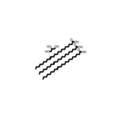 CCCCCCCCC=CCCCCCCCCCCCC(=O)O.CCCCCCCCC=CCCCCCCCCCCCC(=O)O.CCCCCCCCC=CCCCCCCCCCCCC(=O)O.OCC(O)CO